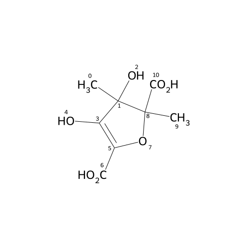 CC1(O)C(O)=C(C(=O)O)OC1(C)C(=O)O